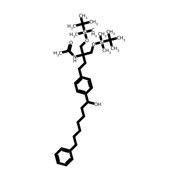 CC(=O)NC(CCc1ccc(C(O)CCCCCCc2ccccc2)cc1)(CO[Si](C)(C)C(C)(C)C)CO[Si](C)(C)C(C)(C)C